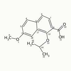 COc1ccc2ccc(C(=O)O)c(OC(C)C)c2c1